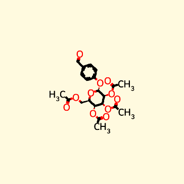 CC(=O)OC[C@H]1O[C@H](Oc2ccc(C=O)cc2)[C@@H](OC(C)=O)[C@@H](OC(C)=O)[C@@H]1OC(C)=O